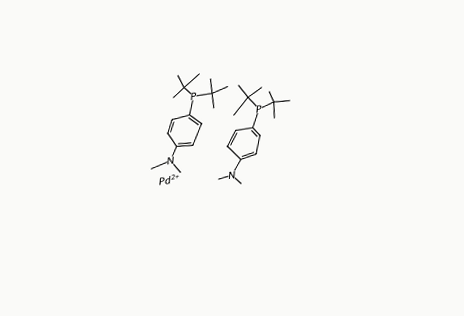 CN(C)c1ccc(P(C(C)(C)C)C(C)(C)C)cc1.CN(C)c1ccc(P(C(C)(C)C)C(C)(C)C)cc1.[Pd+2]